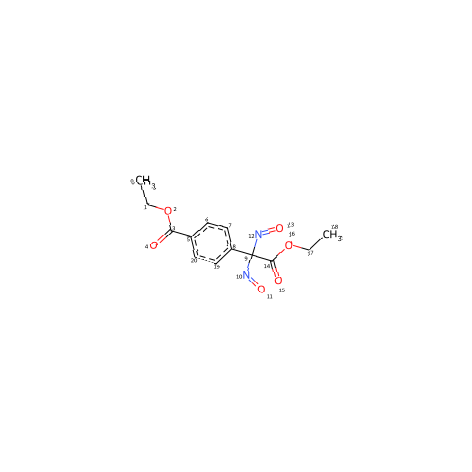 CCOC(=O)c1ccc(C(N=O)(N=O)C(=O)OCC)cc1